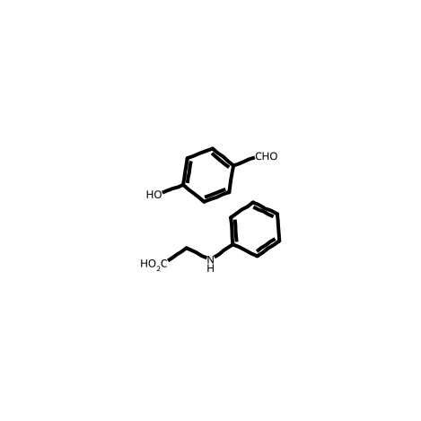 O=C(O)CNc1ccccc1.O=Cc1ccc(O)cc1